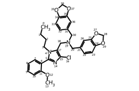 CCCCn1c(-c2ccccc2OC)nc(Cl)c1CN(Cc1ccc2c(c1)OCO2)Cc1ccc2c(c1)OCO2